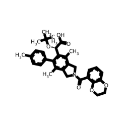 Cc1ccc(-c2c(C)c3c(c(C)c2[C@H](OC(C)(C)C)C(=O)O)CN(C(=O)c2cccc4c2OCCO4)C3)cc1